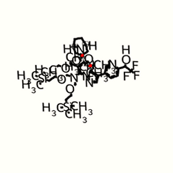 C=C(OCC)c1c([C@@H]2C[C@H]3CC[C@@H](C2)N3C(=O)OC(C)(C)C)nc2c(-c3ccc(C(O)C(F)(F)F)nc3)cnn2c1N(COCC[Si](C)(C)C)COCC[Si](C)(C)C